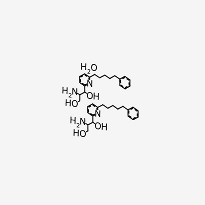 NC(CO)C(O)c1cccc(CCCCCc2ccccc2)n1.NC(CO)C(O)c1cccc(CCCCCc2ccccc2)n1.O